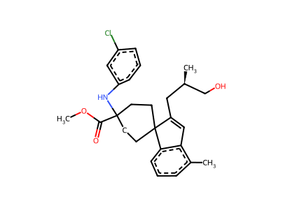 COC(=O)C1(Nc2cccc(Cl)c2)CCC2(CC1)C(C[C@@H](C)CO)=Cc1c(C)cccc12